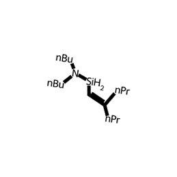 CCCCN(CCCC)[SiH2]C=C(CCC)CCC